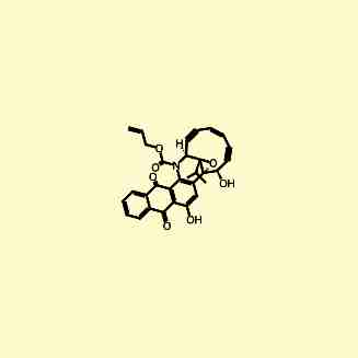 C=CCOC(=O)N1c2c(cc(O)c3c2C(=O)c2ccccc2C3=O)[C@@]23O[C@@]2(C(C)C)[C@@H]1C#C/C=C\C#C[C@H]3O